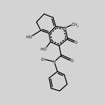 CCN(C(=O)c1c(O)c2c(n(C)c1=O)=CCCC=2O)C1=CCCC=C1